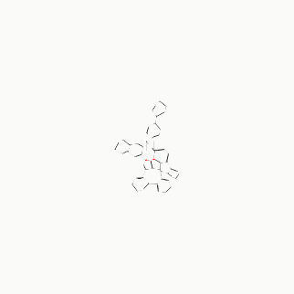 c1ccc(-c2ccc(N(c3ccc4c(c3)C3(c5ccccc5-c5ccccc5-c5ccccc53)c3ccccc3-4)c3ccc4ccccc4c3)cc2)cc1